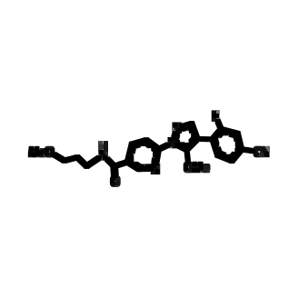 COCCCNC(=O)c1ccc(-n2ncc(-c3ccc(C#N)cc3F)c2OC)nc1